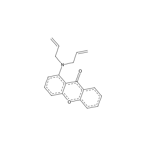 C=CCN(CC=C)c1cccc2oc3ccccc3c(=O)c12